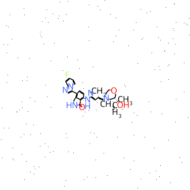 C=N/C(=C\C=C(/C)N1CCOC[C@H](C(C)(C)O)C1)Nc1ccc(-c2cnc3cc(F)ccn23)c2c1C(=O)NC2